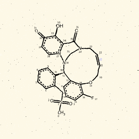 CS(=O)(=O)Cc1ccccc1[C@@H]1c2cccc(F)c2OC/C=C\CN2CN1n1ccc(=O)c(O)c1C2=O